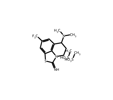 CN(C)C1CCn2c(=N)sc3cc(C(F)(F)F)cc1c32.CS(=O)(=O)O.CS(=O)(=O)O